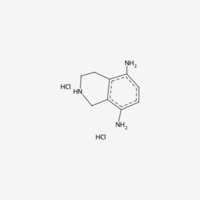 Cl.Cl.Nc1ccc(N)c2c1CCNC2